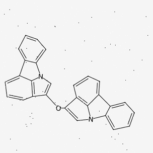 c1ccc2c(c1)c1cccc3c(Oc4cn5c6ccccc6c6cccc4c65)cn2c31